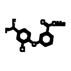 COC(=O)c1cccc(Oc2ccc(C(F)F)cc2Cl)c1